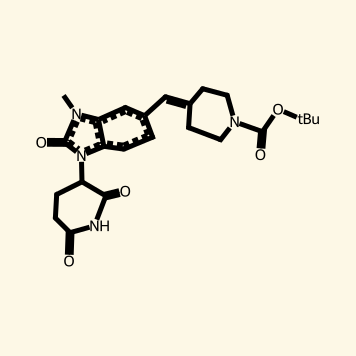 Cn1c(=O)n(C2CCC(=O)NC2=O)c2ccc(C=C3CCN(C(=O)OC(C)(C)C)CC3)cc21